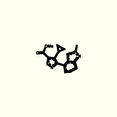 COC(=O)c1snc(-c2cccc3nn(C)cc23)c1C1CC1